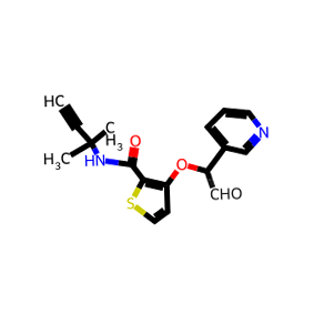 C#CC(C)(C)NC(=O)c1sccc1OC(C=O)c1cccnc1